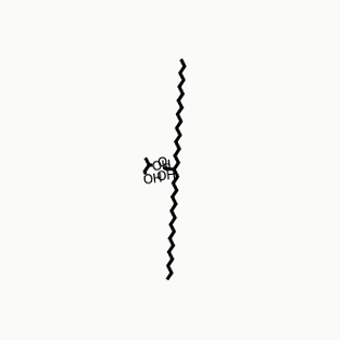 CC(O)CO.CCCCCCCCCCCCCCCCC(CCCCCCCCCCCCCCCC)C(=O)O